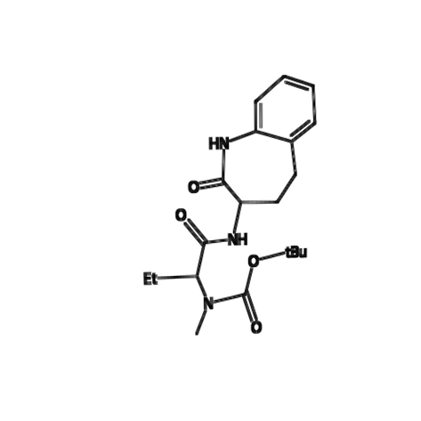 CCC(C(=O)NC1CCc2ccccc2NC1=O)N(C)C(=O)OC(C)(C)C